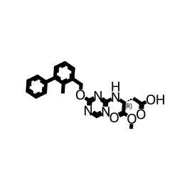 COC(=O)[C@@H](CC(=O)O)Nc1ncnc(OCc2cccc(-c3ccccc3)c2C)n1